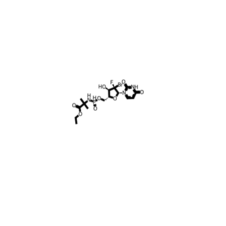 CCOC(=O)C(C)(C)N[PH](=O)OC[C@H]1O[C@@H](n2ccc(=O)[nH]c2=O)[C@@](F)(Br)[C@@H]1O